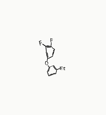 CCc1cccc(Oc2ccc(F)c(F)c2)c1